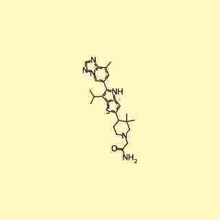 Cc1cc(-c2[nH]c3cc(C4CCN(CC(N)=O)CC4(C)C)sc3c2C(C)C)cn2ncnc12